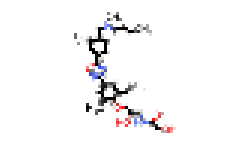 CCCCN(C)Cc1ccc(-c2nc(-c3cc(C)c(OC[C@@H](O)CNC(=O)CO)c(CC)c3)no2)cc1C